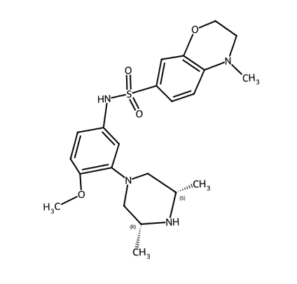 COc1ccc(NS(=O)(=O)c2ccc3c(c2)OCCN3C)cc1N1C[C@@H](C)N[C@@H](C)C1